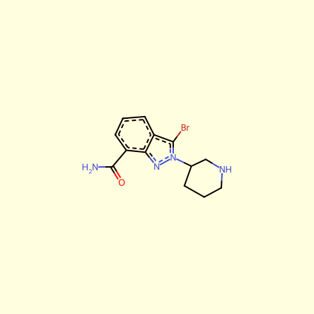 NC(=O)c1cccc2c(Br)n(C3CCCNC3)nc12